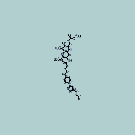 CC(C)(C)OC(=O)CCC(NC(=O)CC(NC(=O)CCCCc1ccc(-n2cc(CCCF)nn2)cc1)C(=O)OC(C)(C)C)C(=O)OC(C)(C)C